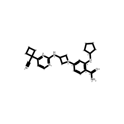 N#CC1(c2ccnc(NC3CN(c4ccc(C(N)=O)c(OC5CCCC5)c4)C3)n2)CCC1